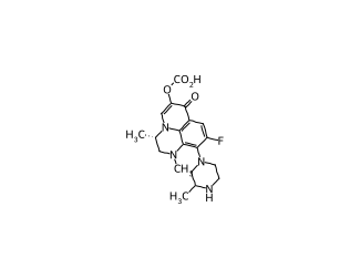 CC1CN(c2c(F)cc3c(=O)c(OC(=O)O)cn4c3c2N(C)C[C@@H]4C)CCN1